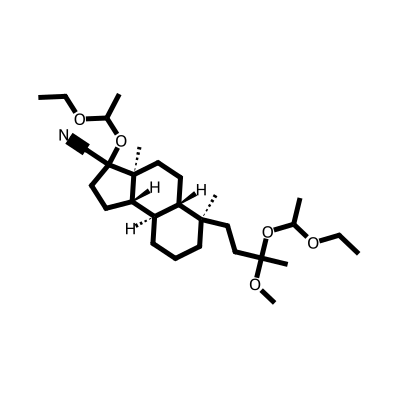 CCOC(C)OC(C)(CC[C@@]1(C)CCC[C@@H]2[C@@H]1CC[C@@]1(C)[C@H]2CCC1(C#N)OC(C)OCC)OC